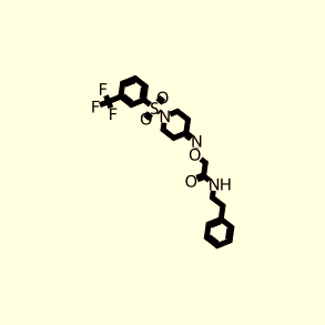 O=C(CON=C1CCN(S(=O)(=O)c2cccc(C(F)(F)F)c2)CC1)NCCc1ccccc1